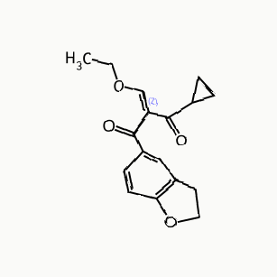 CCO/C=C(\C(=O)c1ccc2c(c1)CCO2)C(=O)C1CC1